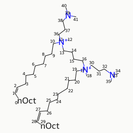 CCCCCCCC/C=C\CCCCCCCC[N+](C)(CCCC[N+](C)(CCCCCCCC/C=C\CCCCCCCC)CCCN(C)C)CCCN(C)C